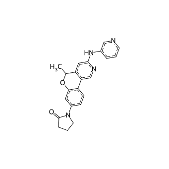 CC1Oc2cc(N3CCCC3=O)ccc2-c2cnc(Nc3cccnc3)cc21